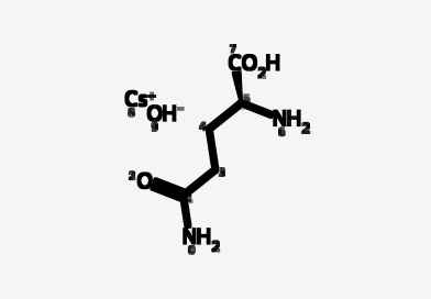 NC(=O)CC[C@H](N)C(=O)O.[Cs+].[OH-]